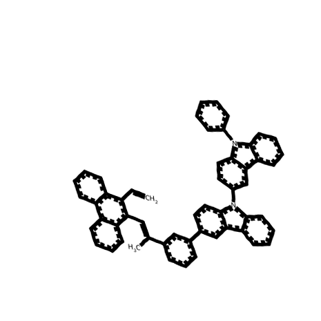 C=Cc1c(/C=C(\C)c2cccc(-c3ccc4c(c3)c3ccccc3n4-c3ccc4c(c3)c3ccccc3n4-c3ccccc3)c2)c2ccccc2c2ccccc12